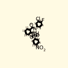 O=C(Nc1ccc(F)c(Cl)c1)c1ccccc1NS(=O)(=O)c1ccc([N+](=O)[O-])cc1